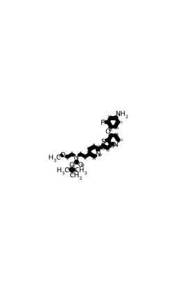 COCCN(CCc1ccc(-c2cc3nccc(Oc4ccc(N)cc4F)c3s2)nc1)C(=O)OC(C)(C)C